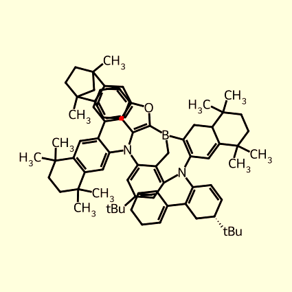 CC1(C)CCC(C)(C)C2CC3=C(C=C21)N(C1=C(C2=CCCC=C2)C[C@@H](C(C)(C)C)C=C1)c1cc(C(C)(C)C)cc2c1CB3c1oc3cc4c(cc3c1N2c1cc2c(cc1-c1ccccc1)C(C)(C)CCC2(C)C)C1(C)CCC4(C)C1